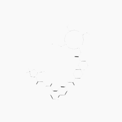 N#C[C@@H]1CC(F)(F)CN1C(=O)CNC(=O)c1ccnc2ccc(NC(=O)C3CCC4(CC3)CN(C(=O)CN3CCN(CC(=O)O)CCN(CC(=O)O)CCN(CC(=O)O)CC3)CCO4)cc12